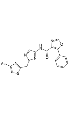 CC(=O)c1csc(Cn2ncc(NC(=O)c3ncoc3-c3ccccc3)n2)n1